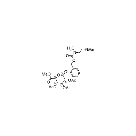 CNCCN(C)C(=O)OCc1ccccc1O[C@@H]1O[C@H](C(=O)OC)[C@@H](OC(C)=O)[C@H](OC(C)=O)[C@H]1OC(C)=O